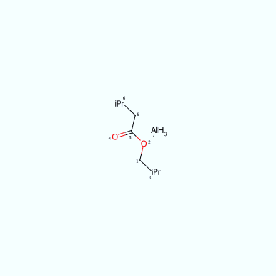 CC(C)COC(=O)CC(C)C.[AlH3]